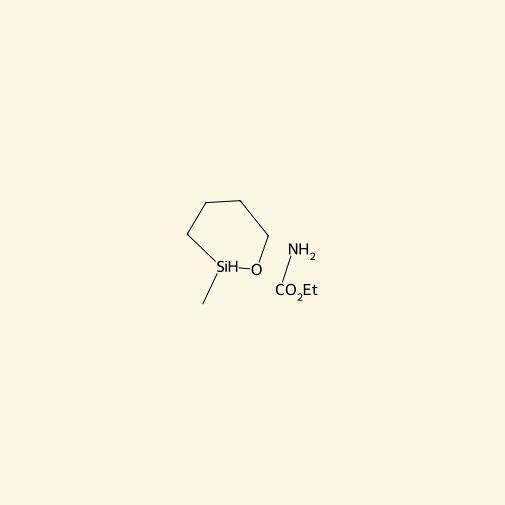 CCOC(N)=O.C[SiH]1CCCCO1